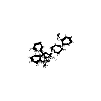 COc1ccccc1N1CCN(CCC(C(N)=O)(c2ccccn2)c2ccccc2[N+](=O)[O-])CC1